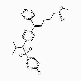 COC(=O)CCC/C=C(/c1ccc(N(C(C)C)S(=O)(=O)c2ccc(Cl)cc2)cc1)c1cccnc1